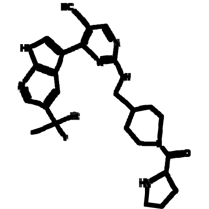 CCC(C)(F)c1cnc2[nH]cc(-c3nc(NCC4CCN(C(=O)C5CCCN5)CC4)ncc3C#N)c2c1